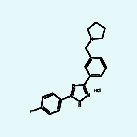 Cl.Fc1ccc(-c2nc(-c3cccc(CN4CCCC4)c3)n[nH]2)cc1